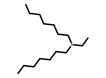 C[CH]N(CCCCCCC)CCCCCCC